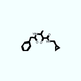 CC(NC(=O)Cc1ccccc1)C(=O)C(=O)NCC1CC1